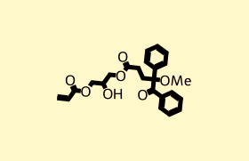 C=CC(=O)OCC(O)COC(=O)CCC(OC)(C(=O)c1ccccc1)c1ccccc1